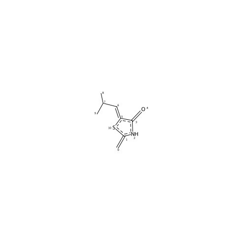 C=c1[nH]c(=O)c(=CC(C)C)s1